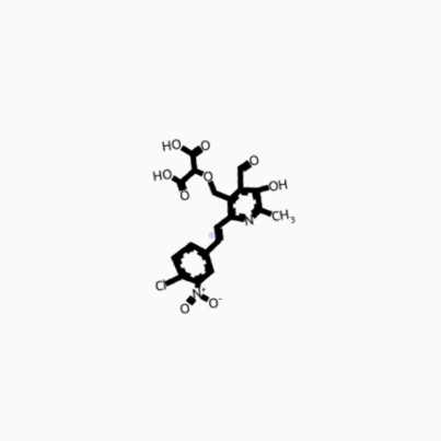 Cc1nc(/C=C/c2ccc(Cl)c([N+](=O)[O-])c2)c(COC(C(=O)O)C(=O)O)c(C=O)c1O